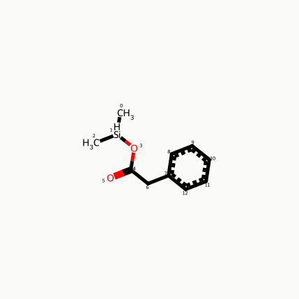 C[SiH](C)OC(=O)Cc1ccccc1